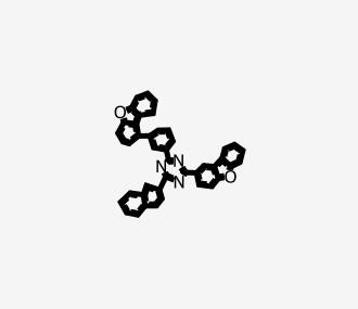 c1cc(-c2nc(-c3ccc4ccccc4c3)nc(-c3ccc4oc5ccccc5c4c3)n2)cc(-c2cccc3oc4ccccc4c23)c1